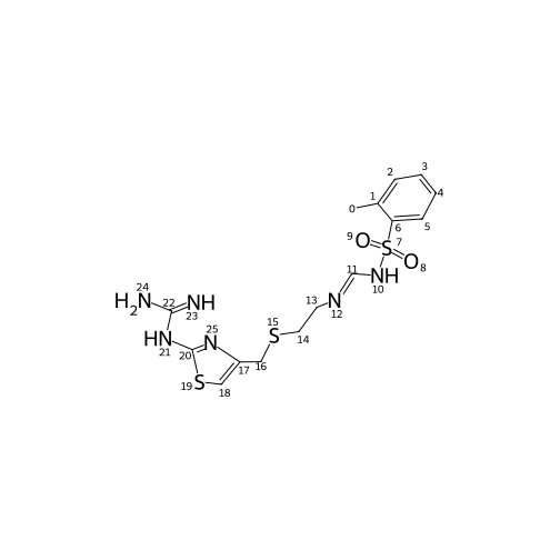 Cc1ccccc1S(=O)(=O)N/C=N/CCSCc1csc(NC(=N)N)n1